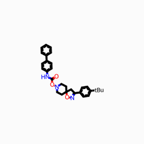 CC(C)(C)c1ccc(C2=NOC3(CCN(OC(=O)Nc4ccc(-c5ccccc5)cc4)CC3)C2)cc1